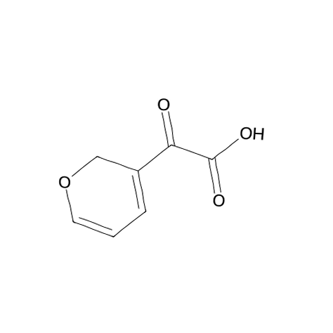 O=C(O)C(=O)C1=CC=COC1